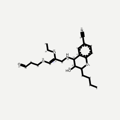 CCCCC1Oc2ccc(C#N)cc2C(NC/C(=C/OCCC=O)OCC)C1O